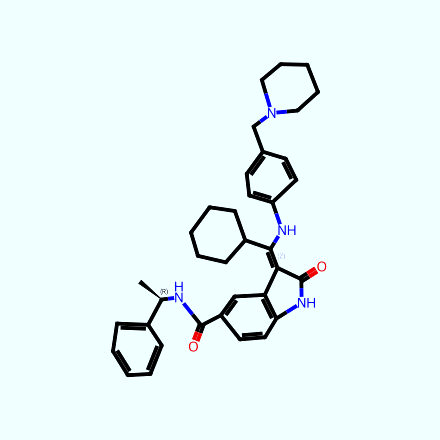 C[C@@H](NC(=O)c1ccc2c(c1)/C(=C(/Nc1ccc(CN3CCCCC3)cc1)C1CCCCC1)C(=O)N2)c1ccccc1